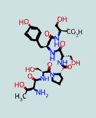 C[C@@H](O)[C@H](N)C(=O)N[C@@H](CO)C(=O)N1CCC[C@H]1C(=O)N[C@@H](CO)C(=O)N[C@@H](Cc1ccc(O)cc1)C(=O)N[C@@H](CO)C(=O)O